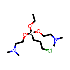 CCO[Si](CCCCl)(OCCN(C)C)OCCN(C)C